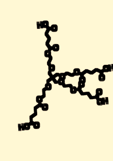 O=C(O)CCCC(=O)OCCOCC(COCCOC(=O)CCCC(=O)O)(COCCOC(=O)CCCC(=O)O)COCCOC(=O)CCCC(=O)O